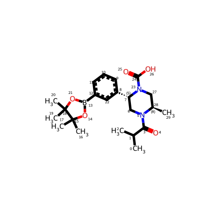 CC(C)C(=O)N1C[C@H](c2cccc(B3OC(C)(C)C(C)(C)O3)c2)N(C(=O)O)C[C@H]1C